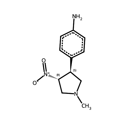 CN1C[C@H](c2ccc(N)cc2)[C@@H]([N+](=O)[O-])C1